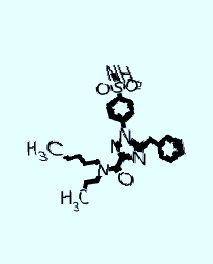 CCCCCN(CCC)C(=O)c1nc(Cc2ccccc2)n(-c2ccc(S(N)(=O)=O)cc2)n1